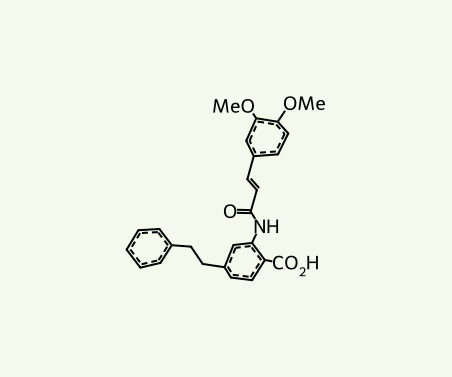 COc1ccc(/C=C/C(=O)Nc2cc(CCc3ccccc3)ccc2C(=O)O)cc1OC